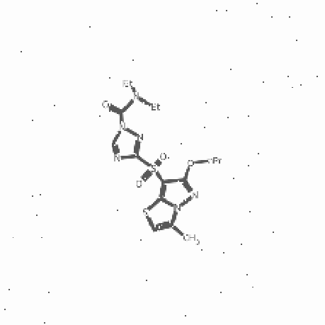 CCCOc1nn2c(C)csc2c1S(=O)(=O)c1ncn(C(=O)N(CC)CC)n1